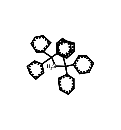 c1ccc(C([SiH2]C(c2ccccc2)(c2ccccc2)c2ccccc2)(c2ccccc2)c2ccccc2)cc1